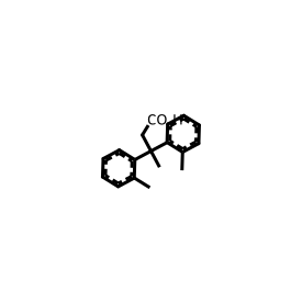 Cc1ccccc1C(C)(CC(=O)O)c1ccccc1C